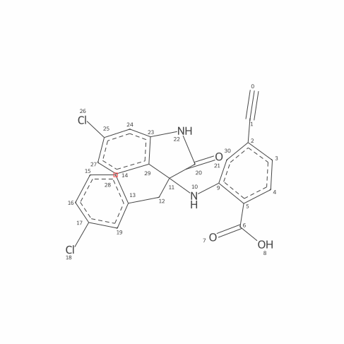 C#Cc1ccc(C(=O)O)c(NC2(Cc3cccc(Cl)c3)C(=O)Nc3cc(Cl)ccc32)c1